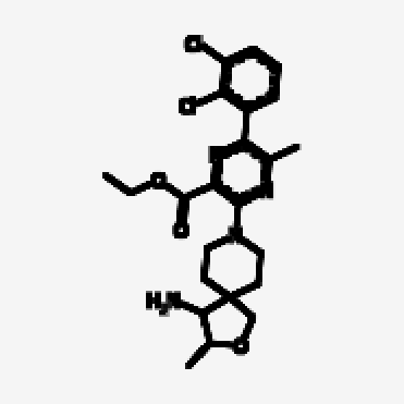 CCOC(=O)c1nc(-c2cccc(Cl)c2Cl)c(C)nc1N1CCC2(CC1)COC(C)C2N